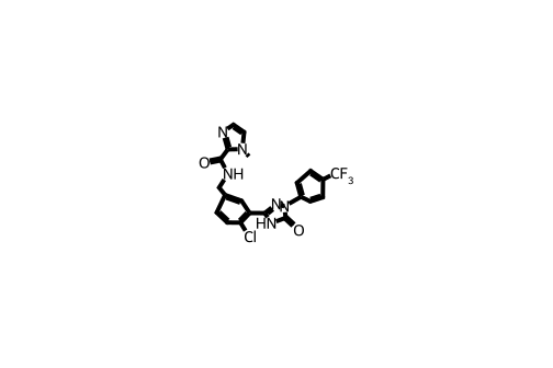 Cn1ccnc1C(=O)NCc1ccc(Cl)c(-c2nn(-c3ccc(C(F)(F)F)cc3)c(=O)[nH]2)c1